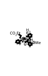 CCOC(=O)CCCN[C@@H](Cn1c(=O)c(-c2cccc(OC)c2F)c(C)n(Cc2c(C)cccc2F)c1=O)c1ccccc1F